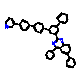 c1ccc(-c2cc(-c3ccc(-c4ccc(-c5cccnc5)cc4)cc3)cc(-c3nc(-c4ccccc4)c4cc(-c5ccccc5)ccc4n3)c2)cc1